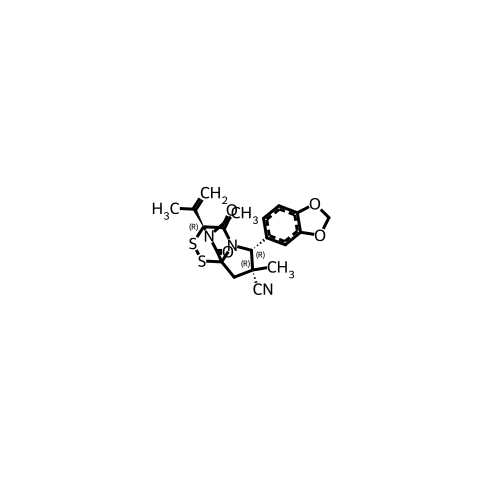 C=C(C)[C@@]12SSC3(C[C@@](C)(C#N)[C@@H](c4ccc5c(c4)OCO5)N3C1=O)C(=O)N2C